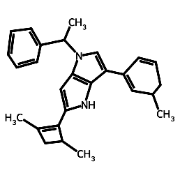 CC1=C(c2cc3c([nH]2)c(C2=CC(C)CC=C2)cn3C(C)c2ccccc2)C(C)C1